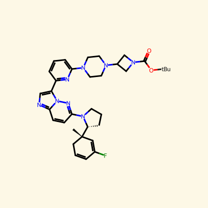 CC(C)(C)OC(=O)N1CC(N2CCN(c3cccc(-c4cnc5ccc(N6CCC[C@@H]6[C@]6(C)C=C(F)C=CC6)nn45)n3)CC2)C1